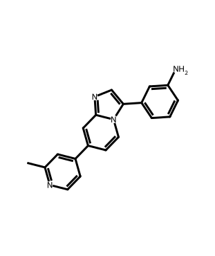 Cc1cc(-c2ccn3c(-c4cccc(N)c4)cnc3c2)ccn1